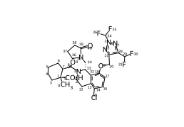 C[C@]1(C(=O)O)CCCC[C@H]1C(=O)N1CCc2c(Cl)ccc(OCc3nn(C(F)F)nc3C(F)F)c2[C@H]1CN1CCCC1=O